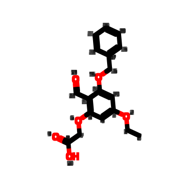 CCOc1cc(OCC(=O)O)c(C=O)c(OCc2ccccc2)c1